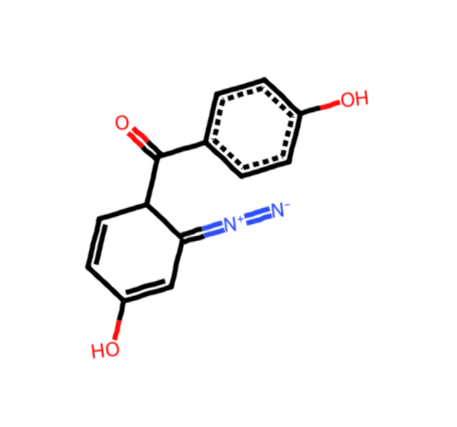 [N-]=[N+]=C1C=C(O)C=CC1C(=O)c1ccc(O)cc1